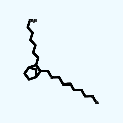 CCOCCC/C=C/CSCC1C2CCC(O2)C1CCCCCCC(=O)O